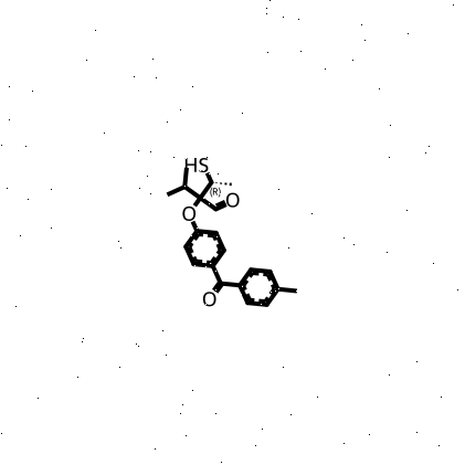 Cc1ccc(C(=O)c2ccc(OC(C=O)(C(C)C)[C@@H](C)S)cc2)cc1